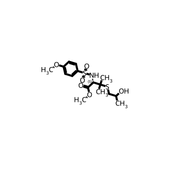 COC(=O)[C@H](NS(=O)(=O)c1ccc(OC)cc1)C(C)(C)SCC(C)O